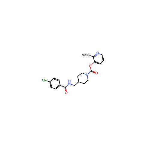 COc1ncccc1OC(=O)N1CCC(CNC(=O)c2ccc(Cl)cc2)CC1